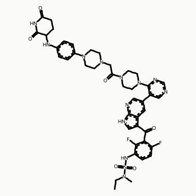 CCN(C)S(=O)(=O)Nc1ccc(F)c(C(=O)c2c[nH]c3ncc(-c4cncnc4N4CCN(C(=O)CN5CCN(c6ccc(NC7CCC(=O)NC7=O)cc6)CC5)CC4)cc23)c1F